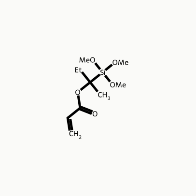 C=CC(=O)OC(C)(CC)[Si](OC)(OC)OC